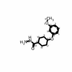 COc1cccc(OC2CCC(C(=O)NN)CC2)c1